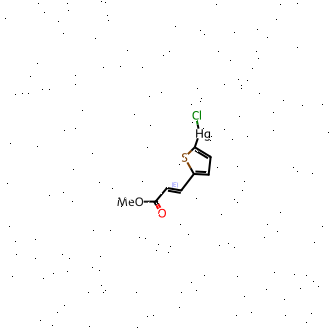 COC(=O)/C=C/c1cc[c]([Hg][Cl])s1